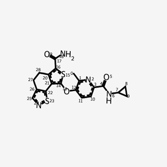 Cc1nc(C(=O)NC2CC2)ccc1Oc1sc(C(N)=O)c2c1-c1sncc1CC2